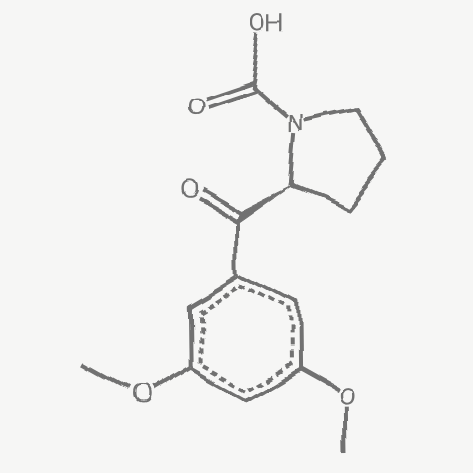 COc1cc(OC)cc(C(=O)[C@@H]2CCCN2C(=O)O)c1